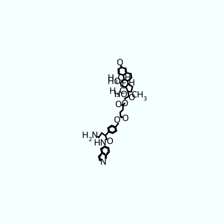 C[C@@H]1C[C@H]2[C@@H]3CCC4=CC(=O)C=C[C@]4(C)[C@@]3(F)[C@@H](O)C[C@]2(C)[C@@]1(O)C(=O)COC(=O)CCC(=O)OCc1ccc(C(CCN)C(=O)Nc2ccc3cnccc3c2)cc1